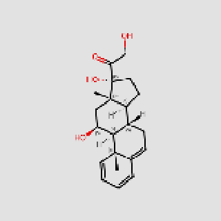 C[C@]12C=CC=CC1=CC[C@@H]1[C@@H]2[C@@H](O)C[C@@]2(C)[C@H]1CC[C@]2(O)C(=O)CO